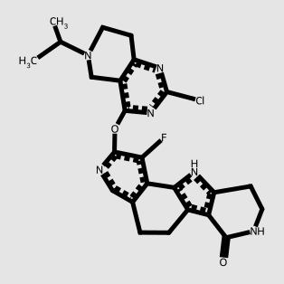 CC(C)N1CCc2nc(Cl)nc(Oc3ncc4c(c3F)-c3[nH]c5c(c3CC4)C(=O)NCC5)c2C1